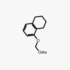 COCOc1cccc2c1CCCC2